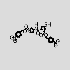 O=C(NC1CCN(C(=O)OCc2ccc([N+](=O)[O-])cc2)C1)[C@@H]1C[C@H](S)CN1C(=O)OCc1ccc([N+](=O)[O-])cc1